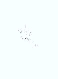 CNC(=O)Oc1sccc1Nc1nc(Nc2ccc3c(c2)CCOC(=O)N3C)ncc1Cl